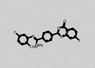 CO/C(=N\c1cc(F)ccc1C=O)c1ccc(-c2nc3cc(F)ccc3c(=O)o2)cc1